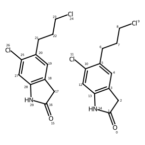 O=C1Cc2cc(CCCCl)c(Cl)cc2N1.O=C1Cc2cc(CCCCl)c(Cl)cc2N1